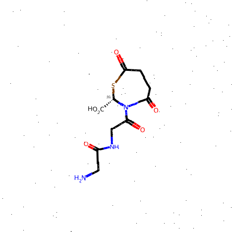 NCC(=O)NCC(=O)N1C(=O)CCC(=O)S[C@H]1C(=O)O